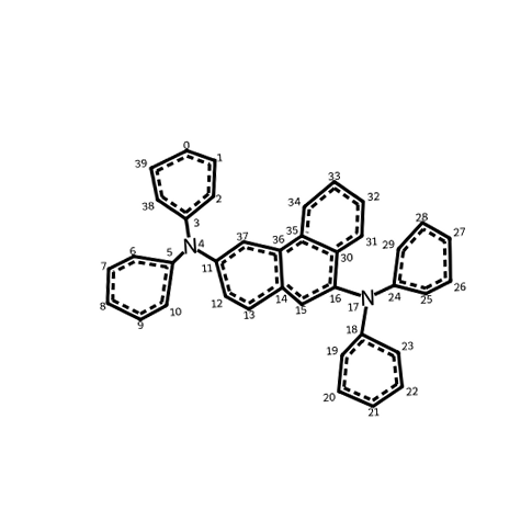 c1ccc(N(c2ccccc2)c2ccc3cc(N(c4ccccc4)c4ccccc4)c4ccccc4c3c2)cc1